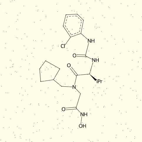 CC(C)[C@H](NC(=O)Nc1ccccc1Cl)C(=O)N(CC(=O)NO)CC1CCCC1